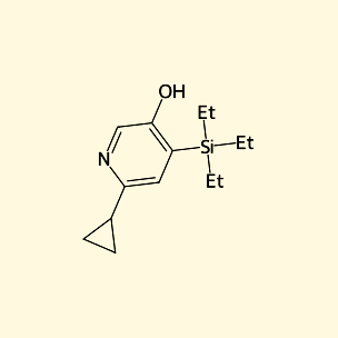 CC[Si](CC)(CC)c1cc(C2CC2)ncc1O